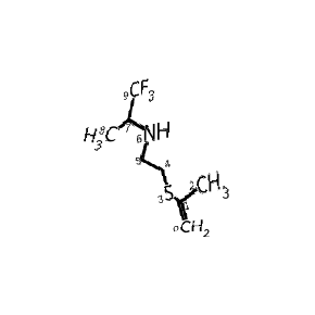 C=C(C)SCCNC(C)C(F)(F)F